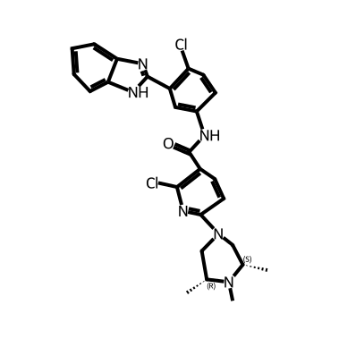 C[C@@H]1CN(c2ccc(C(=O)Nc3ccc(Cl)c(-c4nc5ccccc5[nH]4)c3)c(Cl)n2)C[C@H](C)N1C